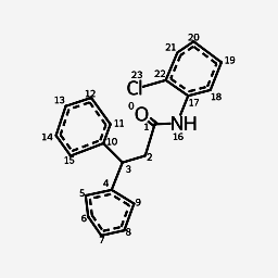 O=C(CC(c1ccccc1)c1ccccc1)Nc1ccccc1Cl